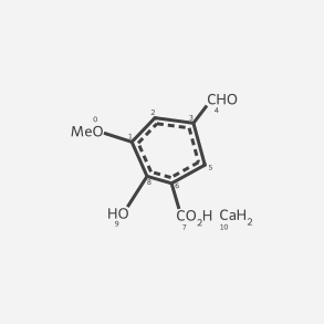 COc1cc(C=O)cc(C(=O)O)c1O.[CaH2]